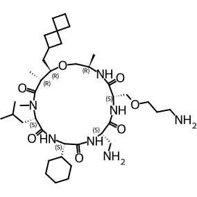 CC(C)C[C@H]1C(=O)N[C@@H](C2CCCCC2)C(=O)N[C@@H](CN)C(=O)N[C@@H](COCCCN)C(=O)N[C@H](C)CO[C@H](CC2CC3(CCC3)C2)[C@@H](C)C(=O)N1C